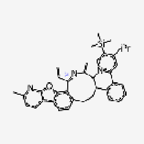 C=C/C1=N/C(=C)C2C(CCc3ccc4c(oc5nc(C)ccc54)c31)c1ccccc1-c1cc(C(C)C)c([Si](C)(C)C)c[n+]12